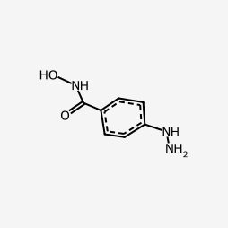 NNc1ccc(C(=O)NO)cc1